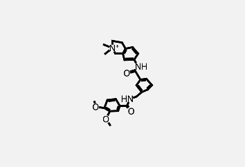 COc1ccc(C(=O)NCc2cccc(C(=O)Nc3ccc4c(c3)C[N+](C)(C)CC4)c2)cc1OC